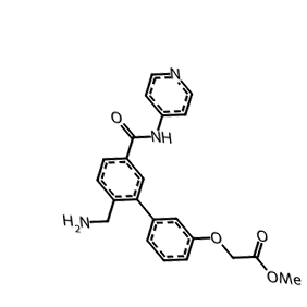 COC(=O)COc1cccc(-c2cc(C(=O)Nc3ccncc3)ccc2CN)c1